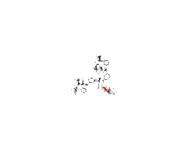 O=C(Nc1cccc(C(=O)N=C2C(S(=O)(=O)[O-])=CC(S(=O)(=O)[O-])c3ccccc32)c1)Nc1cccc(C(=O)N=C2C(S(=O)(=O)[O-])=CC(S(=O)(=O)[O-])c3ccccc32)c1.[Na+].[Na+].[Na+].[Na+]